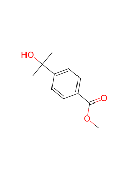 COC(=O)c1ccc(C(C)(C)O)cc1